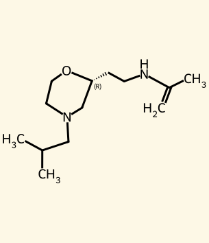 C=C(C)NCC[C@@H]1CN(CC(C)C)CCO1